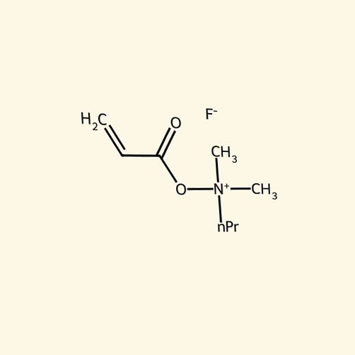 C=CC(=O)O[N+](C)(C)CCC.[F-]